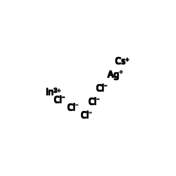 [Ag+].[Cl-].[Cl-].[Cl-].[Cl-].[Cl-].[Cs+].[In+3]